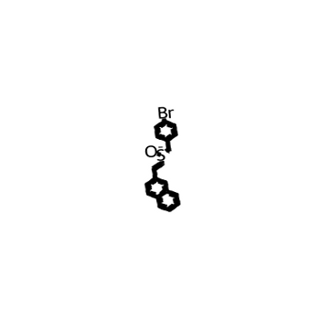 [O-][S+](C=Cc1ccc2ccccc2c1)Cc1ccc(Br)cc1